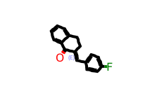 O=C1/C(=C/c2ccc(F)cc2)CCc2ccccc21